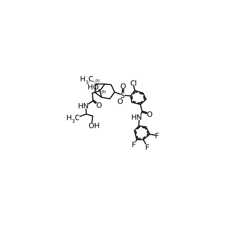 CC(CO)NC(=O)C[C@@]1(O)C2CC(S(=O)(=O)c3cc(C(=O)Nc4cc(F)c(F)c(F)c4)ccc3Cl)CC1[C@@H](C)C2